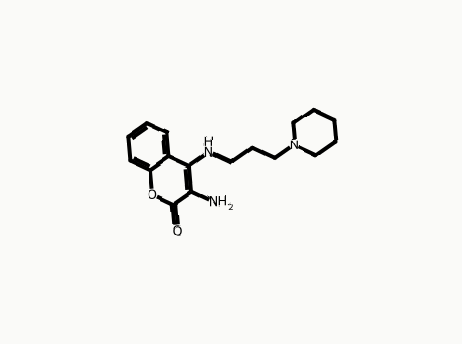 Nc1c(NCCCN2CCCCC2)c2ccccc2oc1=O